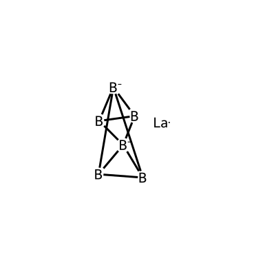 B12B3[B-]14B1B4[B-]231.[La]